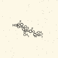 CCOc1ccn(-c2ccc(F)c(OP(O)O)c2)c(=O)c1C(=O)Nc1ccc(Oc2ccnc(N)c2CC)c(F)c1